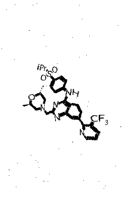 CC(C)S(=O)(=O)c1ccc(Nc2nc(CN3C[C@@H](C)O[C@H](C)C3)nc3cc(-c4ncccc4C(F)(F)F)ccc23)cc1